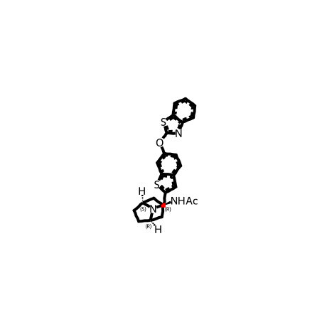 CC(=O)N[C@H]1C[C@H]2CC[C@@H](C1)N2Cc1cc2ccc(Oc3nc4ccccc4s3)cc2s1